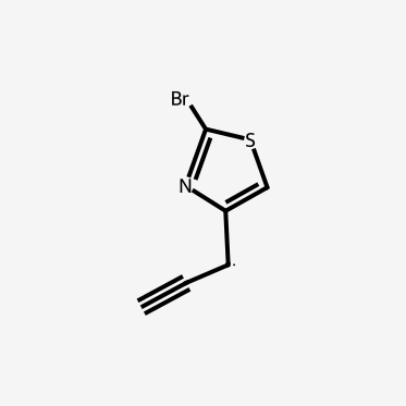 C#C[CH]c1csc(Br)n1